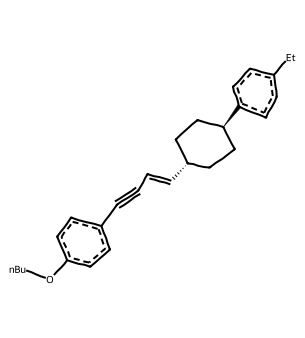 CCCCOc1ccc(C#CC=C[C@H]2CC[C@H](c3ccc(CC)cc3)CC2)cc1